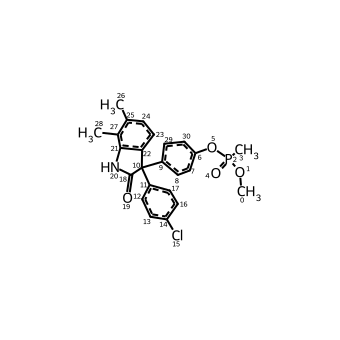 COP(C)(=O)Oc1ccc(C2(c3ccc(Cl)cc3)C(=O)Nc3c2ccc(C)c3C)cc1